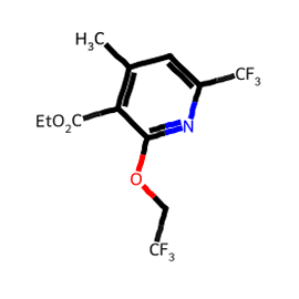 CCOC(=O)c1c(C)cc(C(F)(F)F)nc1OCC(F)(F)F